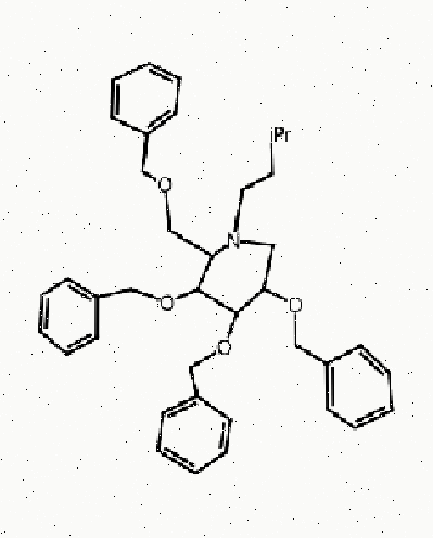 CC(C)CCN1CC(OCc2ccccc2)C(OCc2ccccc2)C(OCc2ccccc2)C1COCc1ccccc1